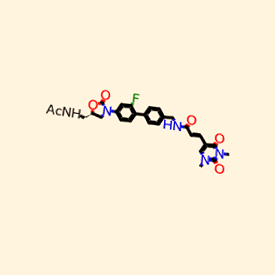 CC(=O)NC[C@H]1CN(c2ccc(-c3ccc(CNC(=O)/C=C/c4cn(C)c(=O)n(C)c4=O)cc3)c(F)c2)C(=O)O1